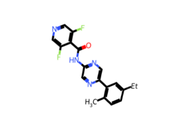 CCc1ccc(C)c(-c2cnc(NC(=O)c3c(F)cncc3F)cn2)c1